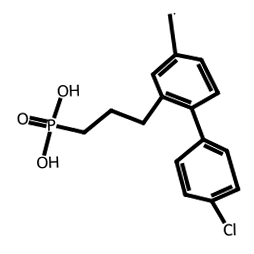 [CH2]c1ccc(-c2ccc(Cl)cc2)c(CCCP(=O)(O)O)c1